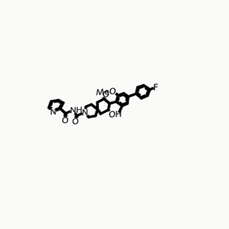 COc1cc(-c2ccc(F)cc2)cc(C)c1C1C(=O)CC2(CCN(C(=O)NC(=O)c3ccccn3)CC2)CC1O